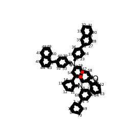 c1ccc(-c2cccc(N(c3ccccc3-c3cccc(N(c4ccc(-c5ccc6ccccc6c5)cc4)c4ccc(-c5cccc6ccccc56)cc4)c3)c3cccc4oc5ccccc5c34)c2)cc1